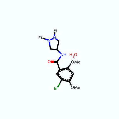 CCN1CC(NC(=O)c2cc(Br)c(OC)cc2OC)CN1CC.O